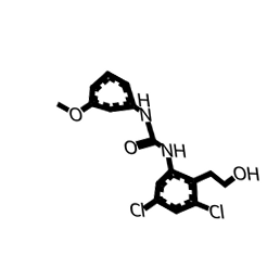 COc1cccc(NC(=O)Nc2cc(Cl)cc(Cl)c2CCO)c1